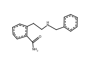 NC(=O)c1ccccc1[CH]CNCc1ccccc1